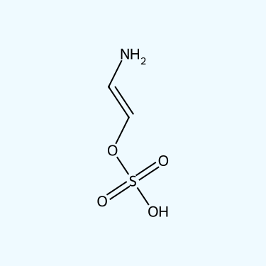 NC=COS(=O)(=O)O